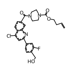 C=CCCOC(=O)N1CCN(C(=O)c2ccc3c(Cl)cc(-c4ccc(CO)c(F)c4)nc3c2)CC1